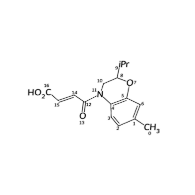 Cc1ccc2c(c1)OC(C(C)C)CN2C(=O)C=CC(=O)O